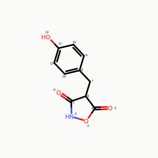 O=C1NOC(=O)C1Cc1ccc(O)cc1